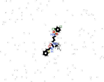 C=C(C)C[C@H](NC(=O)c1cc2ccccc2s1)C(=O)NCCCCNS(=O)(=O)c1ccc(Cl)cc1Cl